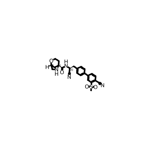 CS(=O)(=O)c1cc(-c2ccc(C[C@@H](C#N)NC(=O)[C@@]34CCO[C@@H](CN3)C4)cc2)ccc1C#N